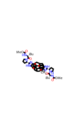 CC[C@H](C)[C@H](NC(=O)OC)C(=O)N1CCC[C@H]1c1nc2cc(-c3cc4ccc3CCc3ccc(c(-c5ccc6[nH]c([C@@H]7CCCN7C(=O)[C@@H](NC(=O)OC)[C@@H](C)CC)nc6c5)c3)C[C@H]4C)ccc2[nH]1